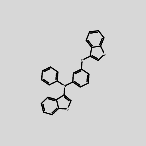 c1ccc(N(c2cccc(Oc3csc4ccccc34)c2)c2csc3ccccc23)cc1